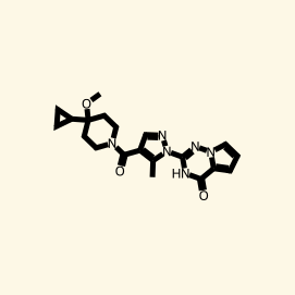 COC1(C2CC2)CCN(C(=O)c2cnn(-c3nn4cccc4c(=O)[nH]3)c2C)CC1